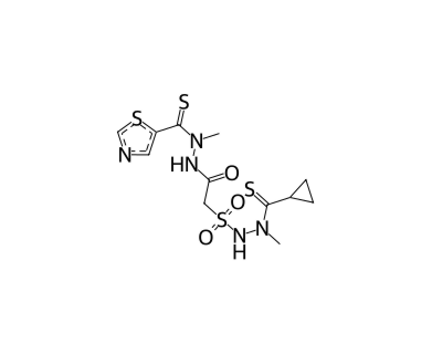 CN(NC(=O)CS(=O)(=O)NN(C)C(=S)C1CC1)C(=S)c1cncs1